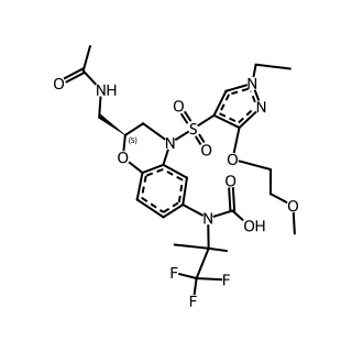 CCn1cc(S(=O)(=O)N2C[C@H](CNC(C)=O)Oc3ccc(N(C(=O)O)C(C)(C)C(F)(F)F)cc32)c(OCCOC)n1